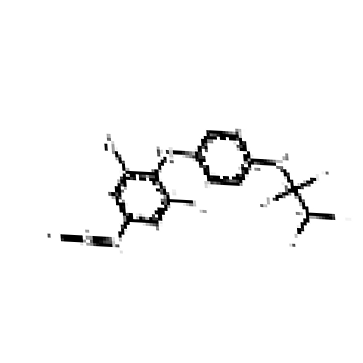 O=C=Nc1cc(Cl)c(Nc2ccc(OC(F)(F)C(F)F)cc2)c(Cl)c1